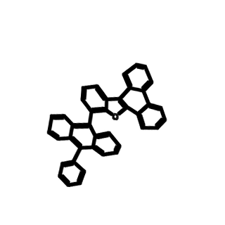 c1ccc(-c2c3ccccc3c(-c3cccc4c3oc3c5ccccc5c5ccccc5c43)c3ccccc23)cc1